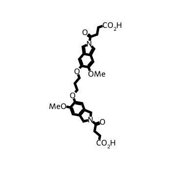 COc1cc2c(cc1OCCCOc1cc3cn(C(=O)CCC(=O)O)cc3cc1OC)CN(C(=O)CCC(=O)O)C2